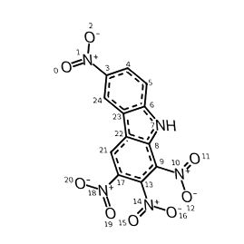 O=[N+]([O-])c1ccc2[nH]c3c([N+](=O)[O-])c([N+](=O)[O-])c([N+](=O)[O-])cc3c2c1